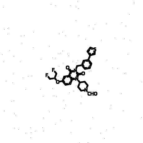 O=CN1CCC(n2c(=O)n(Cc3cccc(-c4ccsc4)c3)c(=O)c3cc(OC(CF)CF)ccc32)CC1